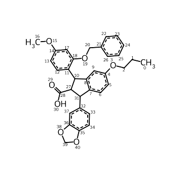 CCCOc1ccc2c(c1)C(c1ccc(OC)cc1OCc1ccccc1)C(C(=O)O)C2c1ccc2c(c1)OCO2